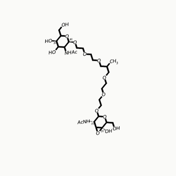 CC(=O)NC1C(O)[C@@H](O)C(CO)O[C@H]1OCCOCCOCC(C)COCCOCCOC1OC(CO)[C@@]2(O)OC2[C@@H]1NC(C)=O